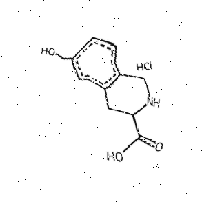 Cl.O=C(O)C1Cc2cc(O)ccc2CN1